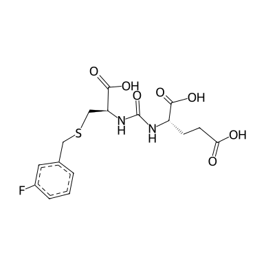 O=C(O)CC[C@H](NC(=O)N[C@@H](CSCc1cccc(F)c1)C(=O)O)C(=O)O